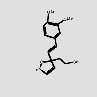 COc1cc(C=CC2(CCO)C=CNO2)ccc1OC(C)=O